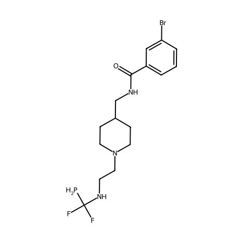 O=C(NCC1CCN(CCNC(F)(F)P)CC1)c1cccc(Br)c1